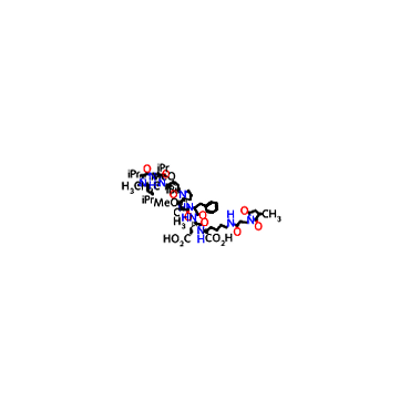 CC[C@H](C)[C@@H]([C@@H](CC(=O)N1CCC[C@H]1[C@H](OC)[C@@H](C)C(=O)NC(Cc1ccccc1)C(=O)N[C@@H](CCC(=O)O)C(=O)N[C@@H](CCCCNC(=O)CCN1C(=O)CC(C)C1=O)C(=O)O)OC)N(C)C(=O)[C@@H](NC(=O)[C@H](C(C)C)N(C)CCCC(C)C)C(C)C